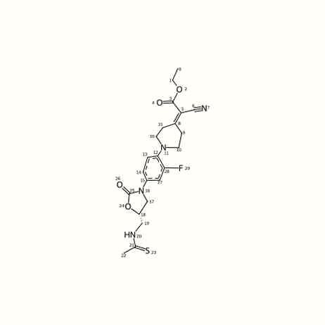 CCOC(=O)C(C#N)=C1CCN(c2ccc(N3C[C@H](CNC(C)=S)OC3=O)cc2F)CC1